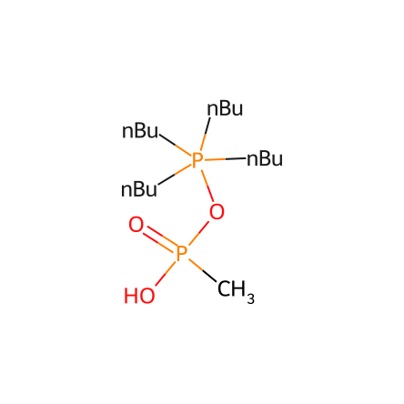 CCCCP(CCCC)(CCCC)(CCCC)OP(C)(=O)O